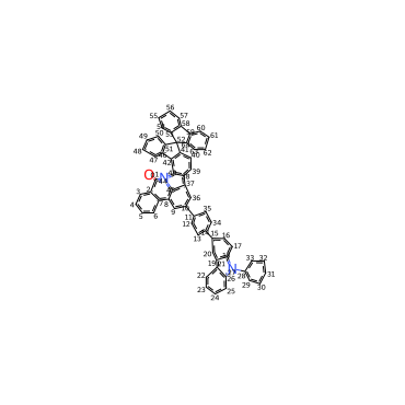 O=c1c2ccccc2c2cc(-c3ccc(-c4ccc5c(c4)c4ccccc4n5-c4ccccc4)cc3)cc3c4ccc5c(c4n1c23)-c1ccccc1C51c2ccccc2-c2ccccc21